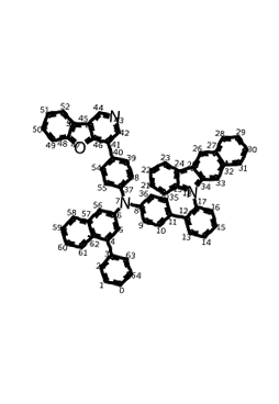 c1ccc(-c2cc(N(c3ccc(-c4ccccc4-n4c5ccccc5c5cc6ccccc6cc54)cc3)c3ccc(-c4cncc5c4oc4ccccc45)cc3)cc3ccccc23)cc1